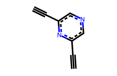 C#Cc1cncc(C#C)n1